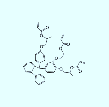 C=CC(=O)OC(C)COc1ccc(C2(c3ccc(OCC(C)OC(=O)C=C)c(OCC(C)OC(=O)C=C)c3)c3ccccc3-c3ccccc32)cc1